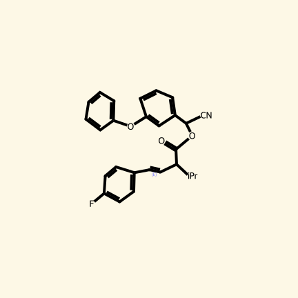 CC(C)C(/C=C/c1ccc(F)cc1)C(=O)OC(C#N)c1cccc(Oc2ccccc2)c1